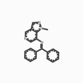 Cn1ncc2cncc(N=C(c3ccccc3)c3ccccc3)c21